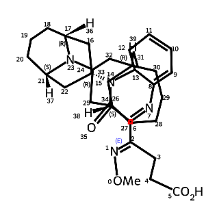 CO/N=C(\CCC(=O)O)c1nc2ccccc2n([C@H]2C[C@H]3CCC[C@@H](C2)N3C2C[C@H]3CCCC[C@@H](C2)C3)c1=O